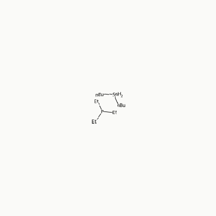 CCC[CH2][SnH2][CH2]CCC.CCP(CC)CC